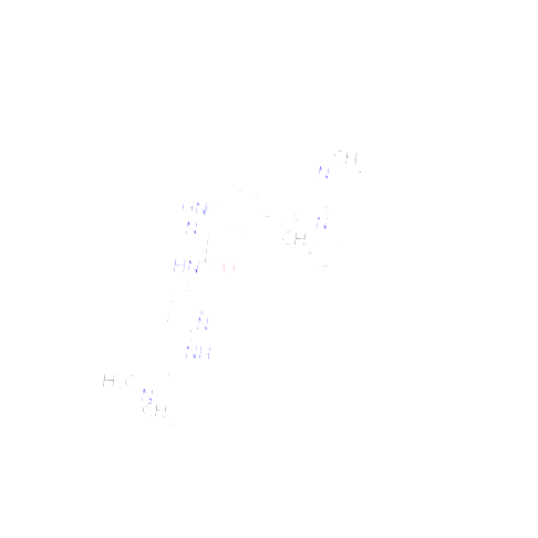 C=N/C=C(\C=C(/C)c1ccc2[nH]nc(C(=O)Nc3ccc(NCCN(C)C)nc3)c2c1)N1CCCCC1